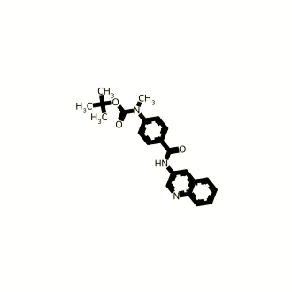 CN(C(=O)OC(C)(C)C)c1ccc(C(=O)Nc2cnc3ccccc3c2)cc1